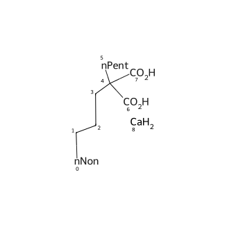 CCCCCCCCCCCCC(CCCCC)(C(=O)O)C(=O)O.[CaH2]